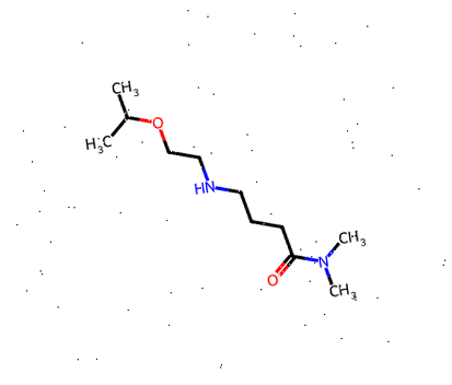 CC(C)OCCNCCCC(=O)N(C)C